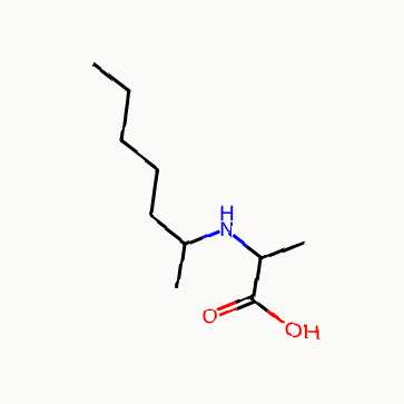 CCCCCC(C)NC(C)C(=O)O